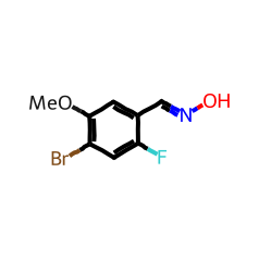 COc1cc(/C=N/O)c(F)cc1Br